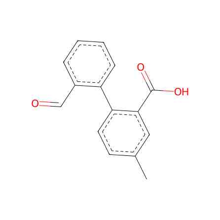 Cc1ccc(-c2ccccc2C=O)c(C(=O)O)c1